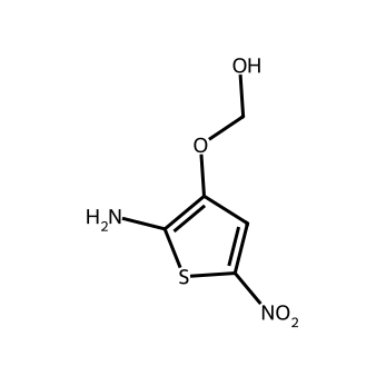 Nc1sc([N+](=O)[O-])cc1OCO